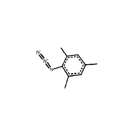 Cc1cc(C)c(N=[N+]=[N-])c(C)c1